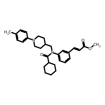 COC(=O)/C=C/c1cccc(N(CC2CCN(c3ccc(C)cc3)CC2)C(=O)C2CCCCC2)c1